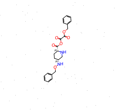 O=C(OCc1ccccc1)C(=O)OC(=O)[C@H]1CC[C@@H](NOCc2ccccc2)CN1